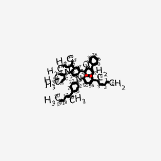 C=C/C=C\C(=C)c1ccc(N(c2ccc(/C(C)=C/C=C\C)cc2)c2cc3c(cc2-c2cccc4c2oc2ccccc24)c(C=C)c(C=C)n3C(/C=C\C)=C/C)cc1